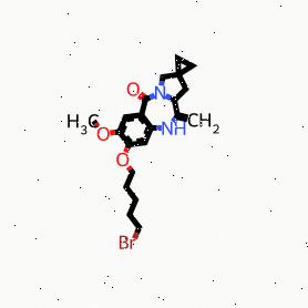 C=C1Nc2cc(OCCCCCBr)c(OC)cc2C(=O)N2CC3(CC3)CC12